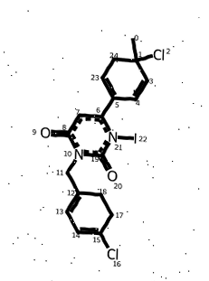 CC1(Cl)C=CC(c2cc(=O)n(CC3=CC=C(Cl)CC3)c(=O)n2I)=CC1